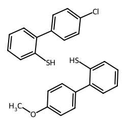 COc1ccc(-c2ccccc2S)cc1.Sc1ccccc1-c1ccc(Cl)cc1